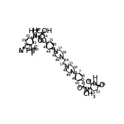 CN(C(=O)Cc1ccc(N2CCN(CCN3CCN(c4ccc(OC[C@](C)(O)C(=O)Nc5ccc(C#N)c(C(F)(F)F)c5)cc4)CC3)CC2)cc1)C1CCC(=O)NC1=O